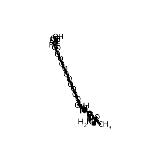 CCCN(C(=O)C1=Cc2ccc(-c3cnc(CNC(=O)CCOCCOCCOCCOCCOCCOCCOCCOCCOCCOCCC(=O)Oc4c(F)c(F)c(S(=O)(=O)O)c(F)c4F)nc3)cc2N=C(N)C1)C1CCC1